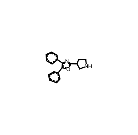 c1ccc(-c2nc(C3CCNC3)oc2-c2ccccc2)cc1